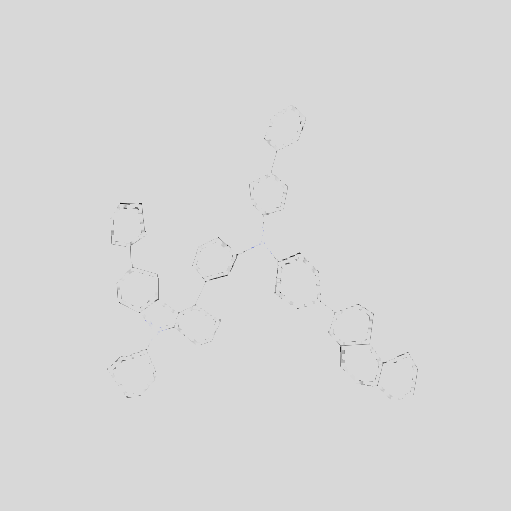 c1ccc(-c2ccc(N(c3ccc(-c4ccc5c(ccc6ccccc65)c4)cc3)c3cccc(-c4cccc5c4c4cc(-c6ccccc6)ccc4n5-c4ccccc4)c3)cc2)cc1